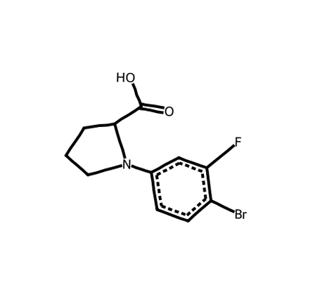 O=C(O)C1CCCN1c1ccc(Br)c(F)c1